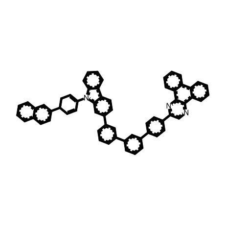 C1=CC(c2ccc3ccccc3c2)CC=C1n1c2ccccc2c2ccc(-c3cccc(-c4cccc(-c5ccc(-c6cnc7c8ccccc8c8ccccc8c7n6)cc5)c4)c3)cc21